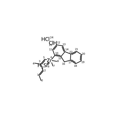 CC=CC(C)=[CH][Zr]([CH3])([CH3])(=[SiH2])[c]1cccc2c1Cc1ccccc1-2.Cl.Cl